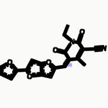 CCN1C(=O)C(C#N)=C(C)/C(=C/c2cc3oc(-c4ccco4)cc3o2)C1=O